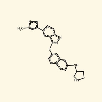 Cn1cc(-c2ccc3nnc(Sc4ccc5ncc(NC6CCNC6)cc5c4)n3c2)cn1